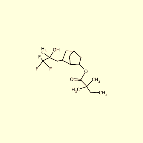 CCC(C)(C)C(=O)OC1CC2CC(CC(C)(O)C(F)(F)F)C1C2